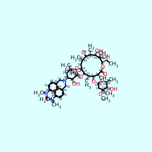 CC[C@H]1OC(=O)[C@H](C)[C@@H](O[C@H]2C[C@@](C)(OC)[C@@H](O)[C@H](C)O2)[C@H](C)[C@@H](O[C@@H]2O[C@H](C)C[C@H](N(Cc3ccc(N(C)C)cc3)Cc3ccc(N(C)C)cc3)[C@H]2O)[C@@](C)(OC)C[C@@H](C)C(=O)[C@H](C)[C@@H](O)[C@]1(C)O